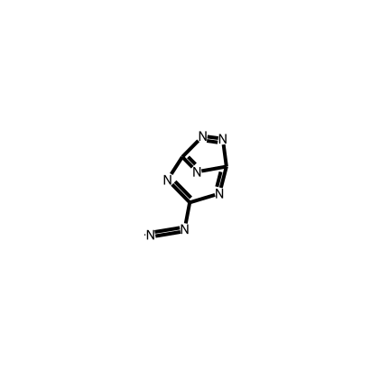 [N]=Nc1nc2nc(n1)N=N2